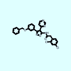 O=C(Cc1ccc(Cl)cc1Cl)Nc1onc(-c2cccc(OCc3ccccc3)c2)c1-c1ccncn1